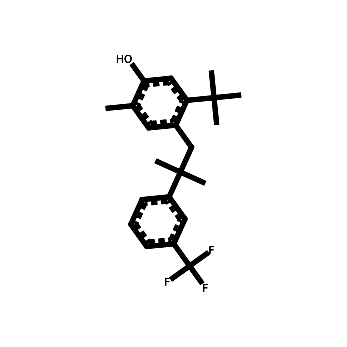 Cc1cc(CC(C)(C)c2cccc(C(F)(F)F)c2)c(C(C)(C)C)cc1O